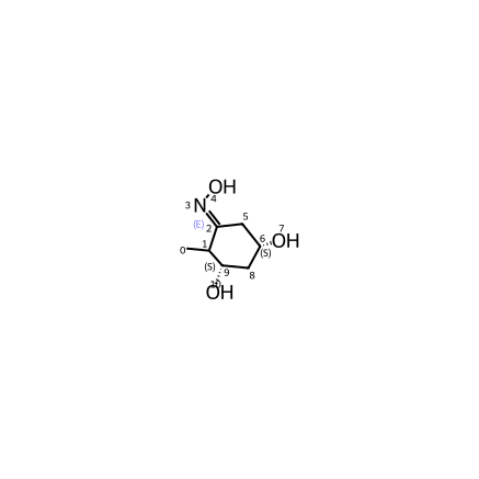 CC1/C(=N/O)C[C@H](O)C[C@@H]1O